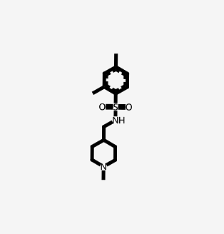 Cc1ccc(S(=O)(=O)NCC2CCN(C)CC2)c(C)c1